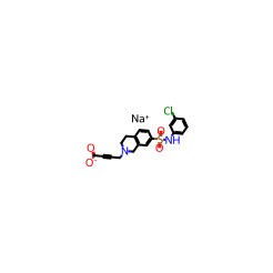 O=C([O-])C#CCN1CCc2ccc(S(=O)(=O)Nc3cccc(Cl)c3)cc2C1.[Na+]